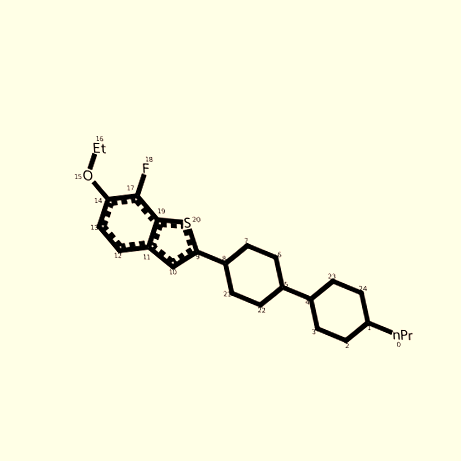 CCCC1CCC(C2CCC(c3cc4ccc(OCC)c(F)c4s3)CC2)CC1